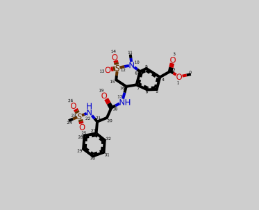 COC(=O)c1ccc2c(c1)N(C)S(=O)(=O)CC2NC(=O)CC(NS(C)(=O)=O)c1ccccc1